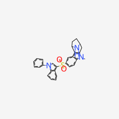 Cn1c2c(c3cc(S(=O)(=O)c4cn(-c5ccccc5)c5ccccc45)ccc31)C1CCC(C2)N1